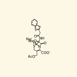 CO[C@@]1(NC(=O)Cc2cc3ccccc3s2)C(=O)N2C(C(=O)[O-])=C(COC(C)=O)CS[C@@H]21.[Na+]